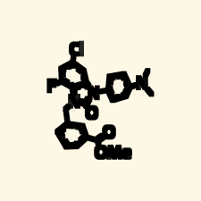 COC(=O)c1cccc(Cn2c(=O)n(-c3ccc(N(C)C)cc3)c3cc(Cl)cc(F)c32)c1